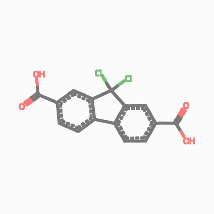 O=C(O)c1ccc2c(c1)C(Cl)(Cl)c1cc(C(=O)O)ccc1-2